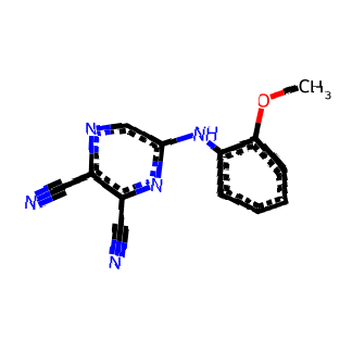 COc1ccccc1Nc1cnc(C#N)c(C#N)n1